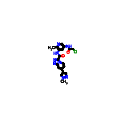 Cc1ncc(NC(=O)CCl)cc1NC(=O)c1nnc2cc(-c3cnn(C)c3)ccn12